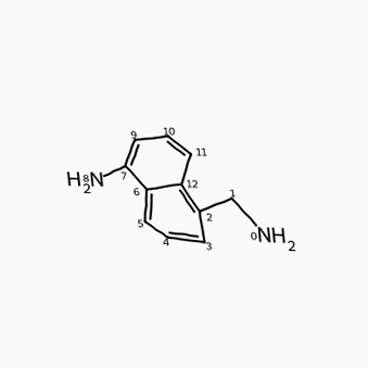 NCc1cccc2c(N)cccc12